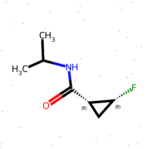 CC(C)NC(=O)[C@H]1C[C@H]1F